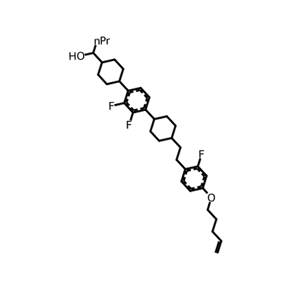 C=CCCCOc1ccc(CCC2CCC(c3ccc(C4CCC(C(O)CCC)CC4)c(F)c3F)CC2)c(F)c1